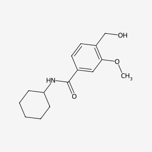 COc1cc(C(=O)NC2CCCCC2)ccc1CO